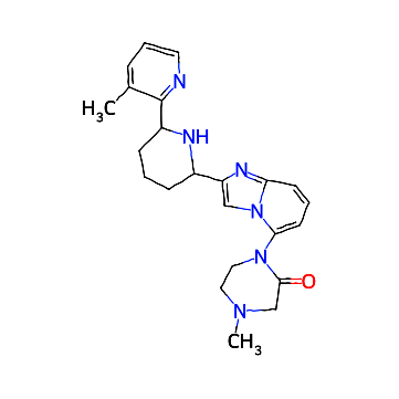 Cc1cccnc1C1CCCC(c2cn3c(N4CCN(C)CC4=O)cccc3n2)N1